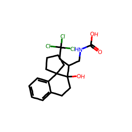 O=C(O)NCC(CC(Cl)(Cl)Cl)C1(O)CCc2ccccc2C12CCCC2